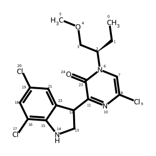 CC[C@H](COC)n1cc(Cl)nc(C2CNc3c(Cl)cc(Cl)cc32)c1=O